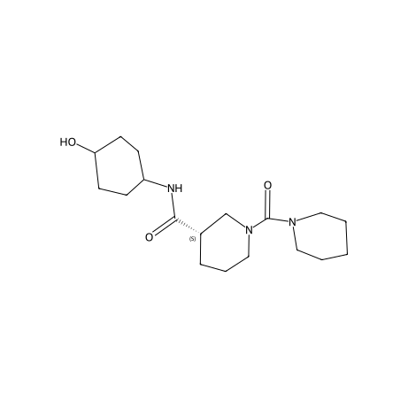 O=C(NC1CCC(O)CC1)[C@H]1CCCN(C(=O)N2CCCCC2)C1